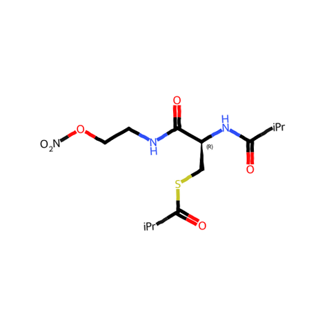 CC(C)C(=O)N[C@@H](CSC(=O)C(C)C)C(=O)NCCO[N+](=O)[O-]